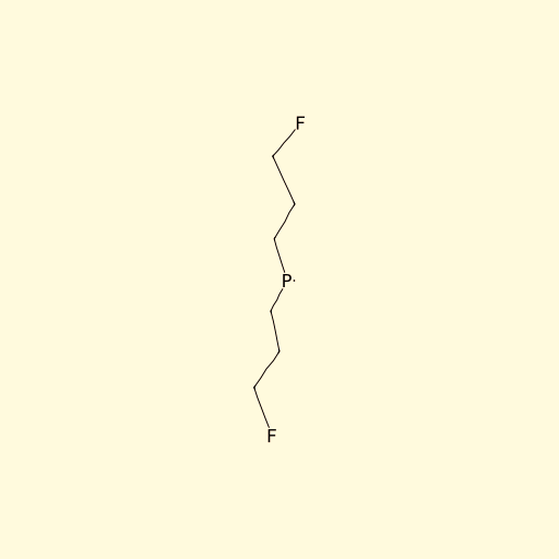 FCCC[P]CCCF